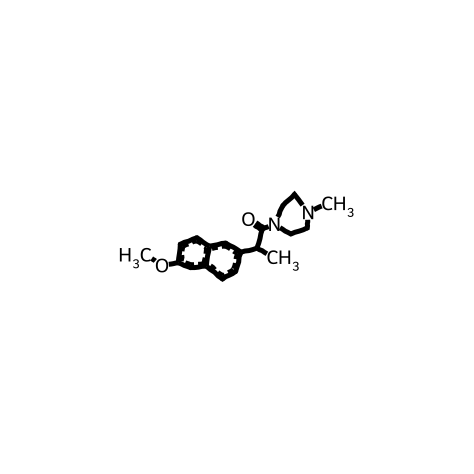 COc1ccc2cc(C(C)C(=O)N3CCN(C)CC3)ccc2c1